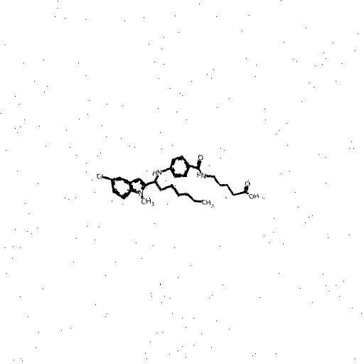 CCCCCCC(Nc1ccc(C(=O)NCCCCC(=O)O)cc1)c1cc2cc(Cl)ccc2n1C